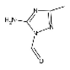 Cc1nc(N)n(C=O)n1